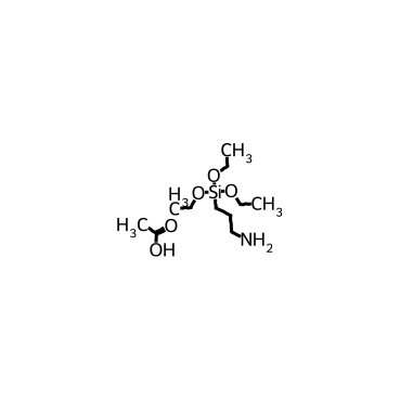 CC(=O)O.CCO[Si](CCCN)(OCC)OCC